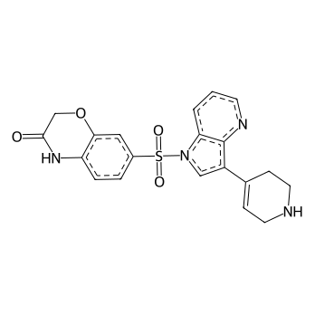 O=C1COc2cc(S(=O)(=O)n3cc(C4=CCNCC4)c4ncccc43)ccc2N1